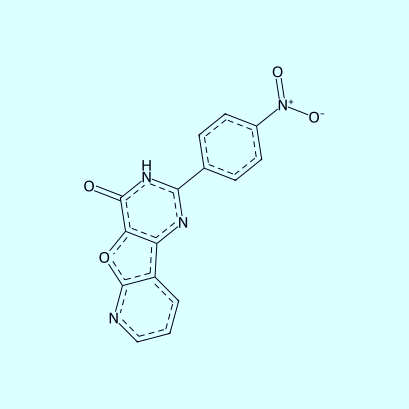 O=c1[nH]c(-c2ccc([N+](=O)[O-])cc2)nc2c1oc1ncccc12